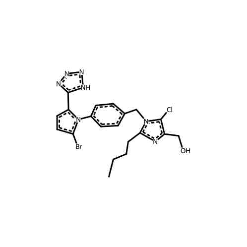 CCCCc1nc(CO)c(Cl)n1Cc1ccc(-n2c(Br)ccc2-c2nnn[nH]2)cc1